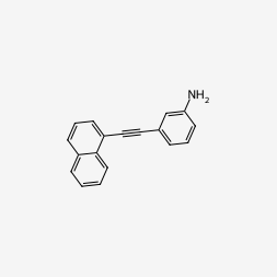 Nc1cccc(C#Cc2cccc3ccccc23)c1